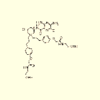 COCCNC(=O)COc1ccc(CCC[N+]2(CCCc3ccc(OCC(=O)NCCOC)cc3)CCC[C@H](NC(=O)c3nc(Cl)c(N)nc3N)C2)cc1.[Cl-]